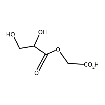 O=C(O)COC(=O)C(O)CO